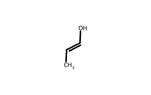 C/C=C/O